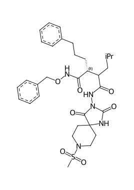 CC(C)CC(C(=O)NN1C(=O)NC2(CCN(S(C)(=O)=O)CC2)C1=O)[C@@H](CCCc1ccccc1)C(=O)NOCc1ccccc1